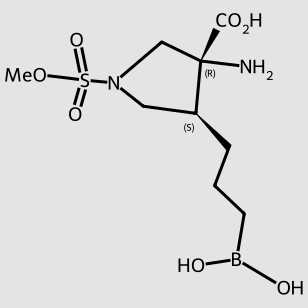 COS(=O)(=O)N1C[C@H](CCCB(O)O)[C@](N)(C(=O)O)C1